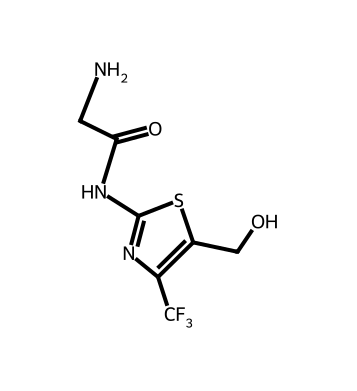 NCC(=O)Nc1nc(C(F)(F)F)c(CO)s1